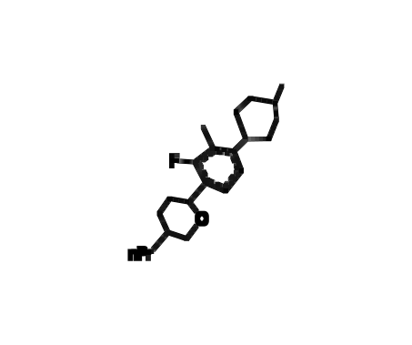 CCCC1CCC(c2ccc(C3CCC(C)CC3)c(C)c2F)OC1